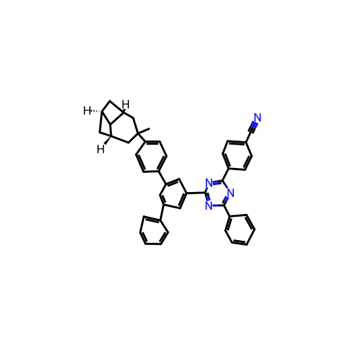 CC1(c2ccc(-c3cc(-c4ccccc4)cc(-c4nc(-c5ccccc5)nc(-c5ccc(C#N)cc5)n4)c3)cc2)C[C@H]2C[C@@H]3C[C@@H](C1)C32